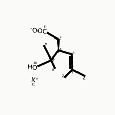 CC(C)=C[C@H](CC(=O)[O-])C(C)(C)O.[K+]